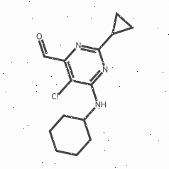 O=Cc1nc(C2CC2)nc(NC2CCCCC2)c1Cl